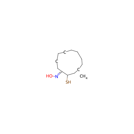 C.ON=C1CCCCCCCCCCC1S